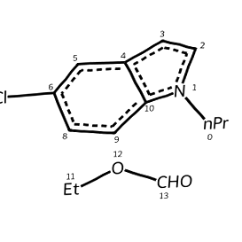 CCCn1ccc2cc(Cl)ccc21.CCOC=O